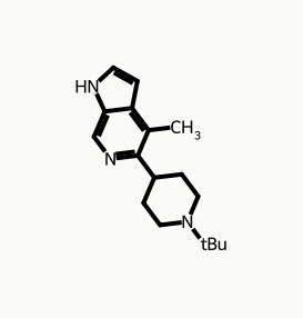 Cc1c(C2CCN(C(C)(C)C)CC2)ncc2[nH]ccc12